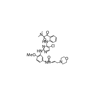 COc1ccc(NC(=O)C=CCN2CCOCC2)cc1Nc1ncc(Cl)c(Nc2ccccc2C(=O)C(=O)N(C)C)n1